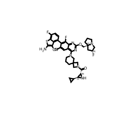 N#Cc1c(N)sc2c(F)ccc(-c3c(Cl)cc4c(N5CCCC6(CN(C(=O)[C@@H]7N[C@H]7C7CC7)C6)C5)nc(OC[C@@]56CCCN5C[C@H](F)C6)nc4c3F)c12